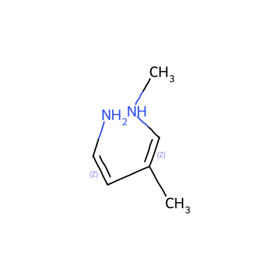 CN/C=C(C)\C=C/N